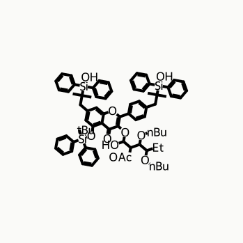 CCCCOC(CC)C(OCCCC)C(OC(C)=O)C(O)Oc1c(-c2ccc(CC(C)(C)[Si](O)(c3ccccc3)c3ccccc3)cc2)oc2cc(CC(C)(C)[Si](O)(c3ccccc3)c3ccccc3)cc(O[Si](c3ccccc3)(c3ccccc3)C(C)(C)C)c2c1=O